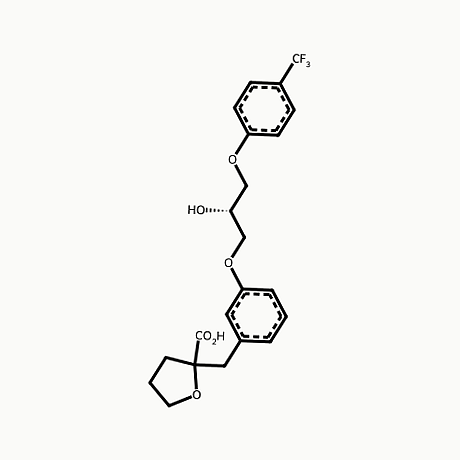 O=C(O)C1(Cc2cccc(OC[C@H](O)COc3ccc(C(F)(F)F)cc3)c2)CCCO1